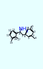 Cc1cc(C)cc(CC(N)c2cccc(C)c2C)c1